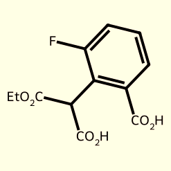 CCOC(=O)C(C(=O)O)c1c(F)cccc1C(=O)O